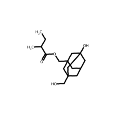 CCC(C)C(=O)OCC12CC3CC(O)(CC(CO)(C3)C1)C2